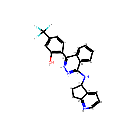 Oc1cc(C(F)(F)F)ccc1-c1nnc(NC2CCc3ncccc32)c2ccccc12